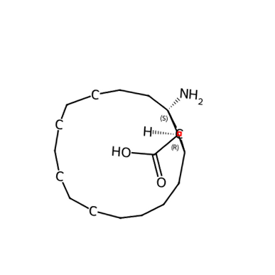 N[C@@]12CCCCCCCCCCCCCC(C1)[C@H]2C(=O)O